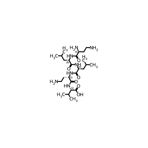 CC(C)C[C@H](NC(=O)[C@@H](CC(C)C)NC(=O)[C@@H](N)CCN)C(=O)N[C@@H](CCN)C(=O)N[C@H](C(=O)O)C(C)C